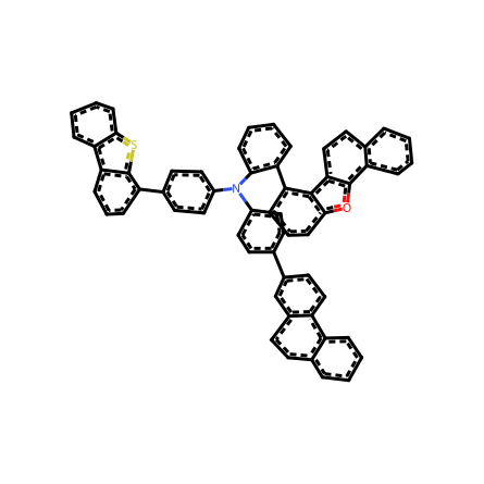 c1ccc(N(c2ccc(-c3ccc4c(ccc5ccccc54)c3)cc2)c2ccc(-c3cccc4c3sc3ccccc34)cc2)c(-c2cccc3oc4c5ccccc5ccc4c23)c1